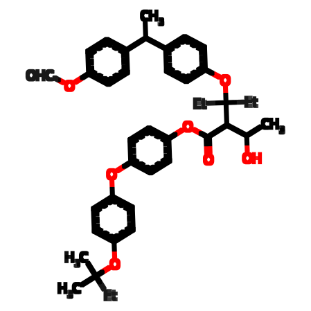 CCC(C)(C)Oc1ccc(Oc2ccc(OC(=O)C(C(C)O)C(CC)(CC)Oc3ccc(C(C)c4ccc(OC=O)cc4)cc3)cc2)cc1